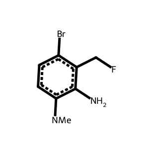 CNc1ccc(Br)c(CF)c1N